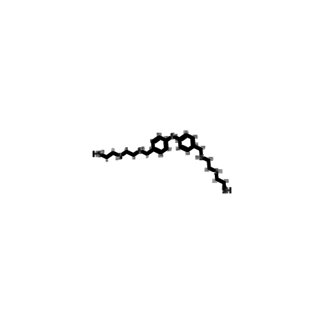 SCCSCCSCc1ccc(Sc2ccc(CSCCSCCS)cc2)cc1